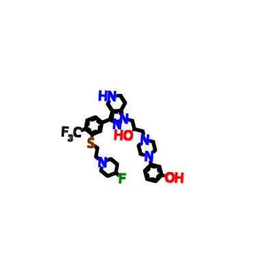 Oc1cccc(N2CCN(C[C@H](O)Cn3nc(-c4ccc(C(F)(F)F)c(SCCN5CCC(F)CC5)c4)c4c3CCNC4)CC2)c1